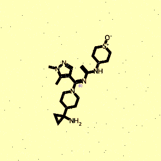 C=C(/N=C(\c1cnn(C)c1C)N1CCC(C2(N)CC2)CC1)NC1CC[S+]([O-])CC1